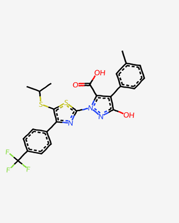 Cc1cccc(-c2c(O)nn(-c3nc(-c4ccc(C(F)(F)F)cc4)c(SC(C)C)s3)c2C(=O)O)c1